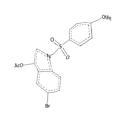 COc1ccc(S(=O)(=O)n2cc(OC(C)=O)c3cc(Br)ccc32)cc1